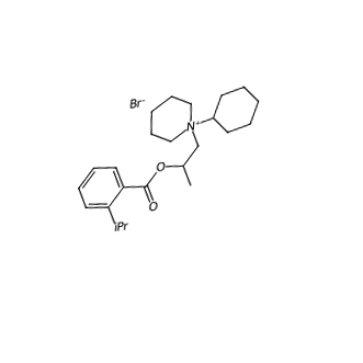 CC(C[N+]1(C2CCCCC2)CCCCC1)OC(=O)c1ccccc1C(C)C.[Br-]